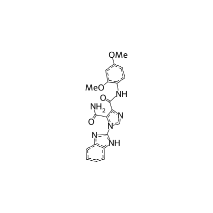 COc1ccc(NC(=O)c2ncn(-c3nc4ccccc4[nH]3)c2C(N)=O)c(OC)c1